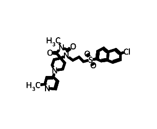 Cc1cc(N2CCC3(CC2)C(=O)N(C)C(=O)N3CCCS(=O)(=O)c2ccc3cc(Cl)ccc3c2)ccn1